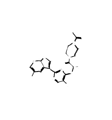 CC(=O)N1CCN(C(=O)[C@@H](C)Nc2nc(C3=CNC4NC=C(Cl)C=C34)ncc2F)CC1